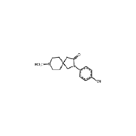 N#Cc1ccc(N2CC3(CCN(C(=O)O)CC3)CC2=O)cc1